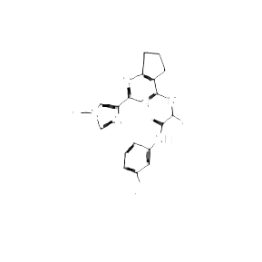 COc1cccc(NC(=O)C(C)N(C)c2nc(-c3cn(C)cn3)nc3c2CCC3)c1